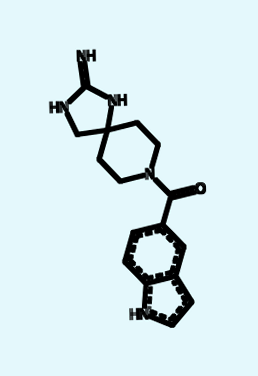 N=C1NCC2(CCN(C(=O)c3ccc4[nH]ccc4c3)CC2)N1